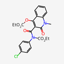 CCOC(=O)Oc1c(C(=O)N(C(=O)OCC)c2ccc(Cl)cc2)c(=O)n(C)c2ccccc12